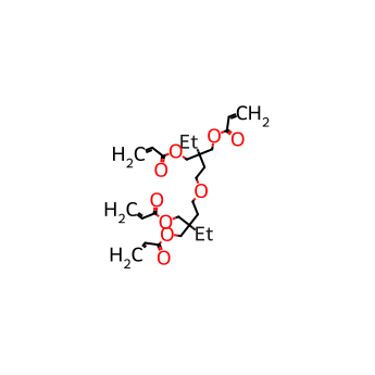 C=CC(=O)OCC(CC)(CCOCCC(CC)(COC(=O)C=C)COC(=O)C=C)COC(=O)C=C